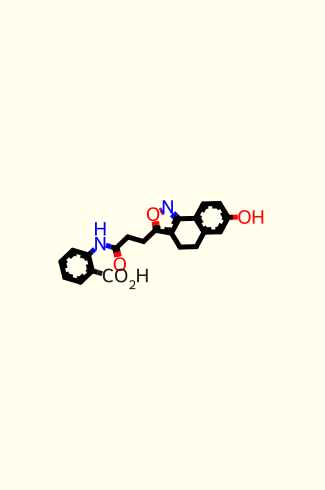 O=C(CCc1onc2c1CCc1cc(O)ccc1-2)Nc1ccccc1C(=O)O